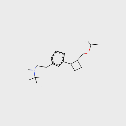 CC(C)OCC1CCC1c1cccc(CCN(C)C(C)(C)C)c1